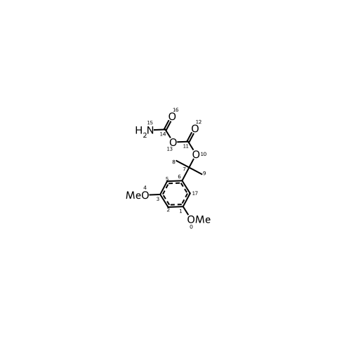 COc1cc(OC)cc(C(C)(C)OC(=O)OC(N)=O)c1